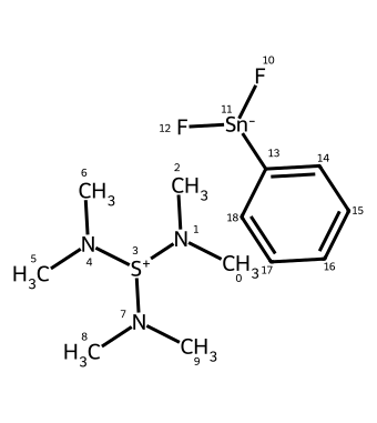 CN(C)[S+](N(C)C)N(C)C.[F][Sn-]([F])[c]1ccccc1